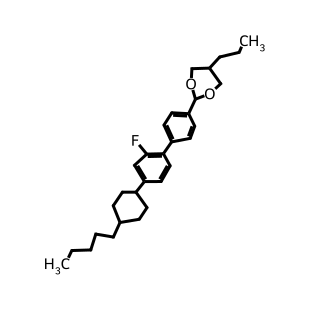 CCCCCC1CCC(c2ccc(-c3ccc(C4OCC(CCC)CO4)cc3)c(F)c2)CC1